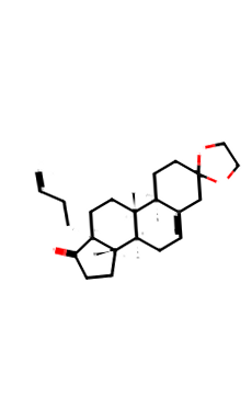 C=CCC[C@]12CC[C@H]3[C@@H](CC=C4CC5(CC[C@@]43C)OCCO5)[C@@H]1CCC2=O